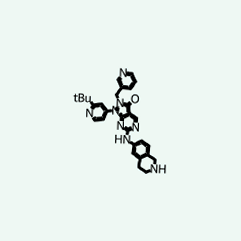 CC(C)(C)c1cc(-n2c3nc(Nc4ccc5c(c4)CCNC5)ncc3c(=O)n2Cc2cccnc2)ccn1